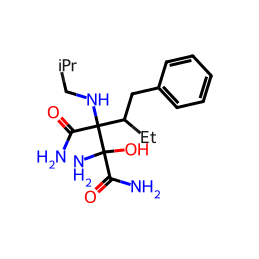 CCC(Cc1ccccc1)C(NCC(C)C)(C(N)=O)C(N)(O)C(N)=O